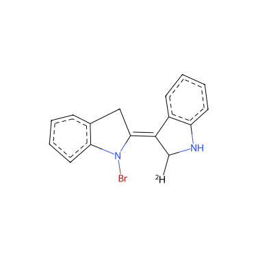 [2H]C1Nc2ccccc2C1=C1Cc2ccccc2N1Br